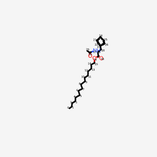 CCCCCCCCCCCCCCCCOC(=O)C(Cc1ccccc1)NC(C)=O